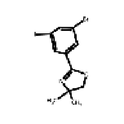 CC1(C)COC(c2cc(Br)cc(I)c2)=N1